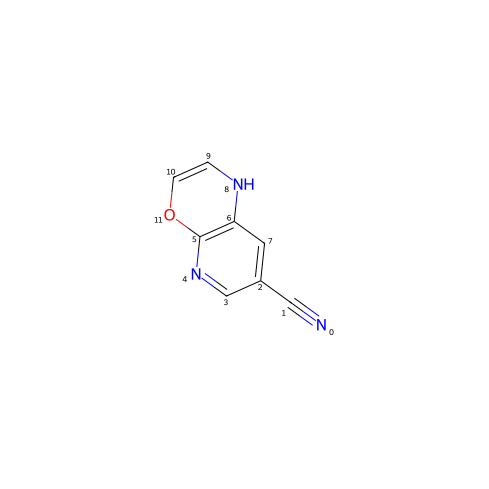 N#Cc1cnc2c(c1)NC=CO2